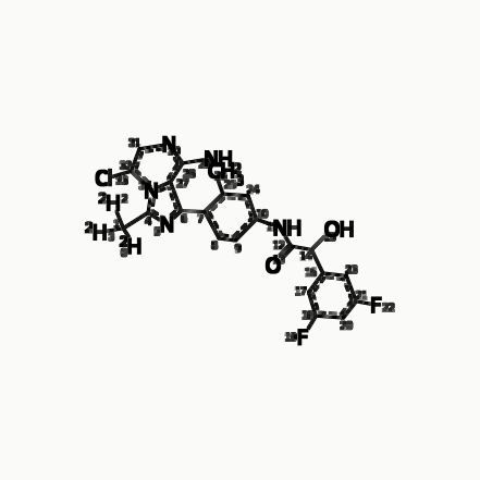 [2H]C([2H])([2H])c1nc(-c2ccc(NC(=O)C(O)c3cc(F)cc(F)c3)cc2C)c2c(N)ncc(Cl)n12